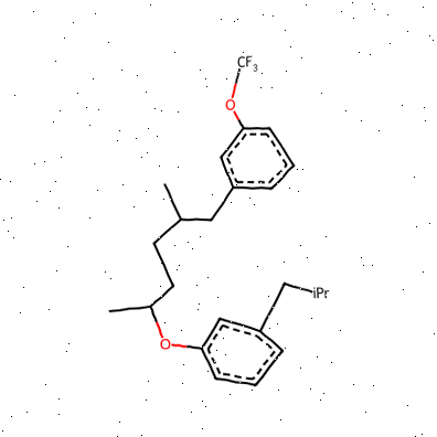 CC(C)Cc1cccc(OC(C)CCC(C)Cc2cccc(OC(F)(F)F)c2)c1